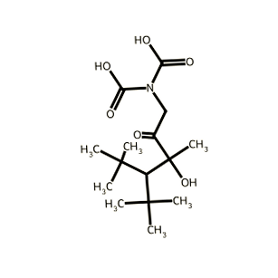 CC(C)(C)C(C(C)(C)C)C(C)(O)C(=O)CN(C(=O)O)C(=O)O